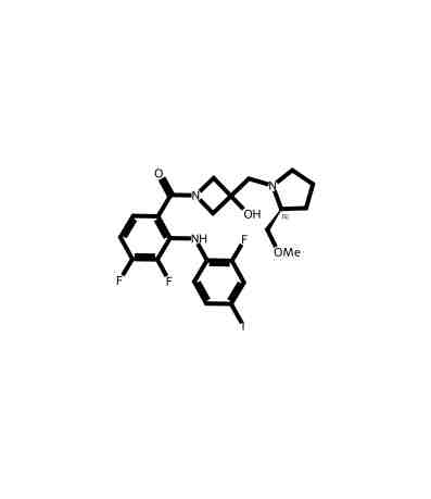 COC[C@@H]1CCCN1CC1(O)CN(C(=O)c2ccc(F)c(F)c2Nc2ccc(I)cc2F)C1